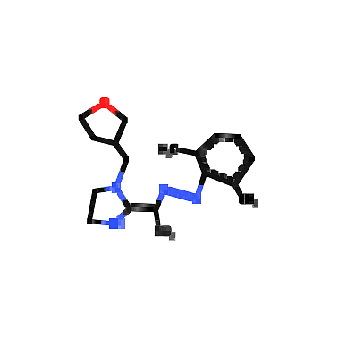 Cc1cccc(C)c1/N=N/C(=C1/NCCN1CC1CCOC1)[N+](=O)[O-]